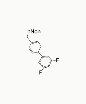 CCCCCCCCCCC1=CCC(c2cc(F)cc(F)c2)C=C1